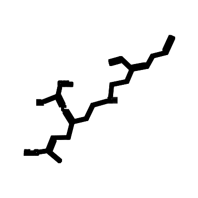 C=CC/C=C(\C=C)CCNCCC(=C=C(CC)OC)C/C=C(\C)OC